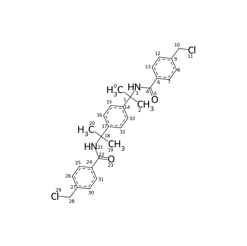 CC(C)(NC(=O)c1ccc(CCl)cc1)c1ccc(C(C)(C)NC(=O)c2ccc(CCl)cc2)cc1